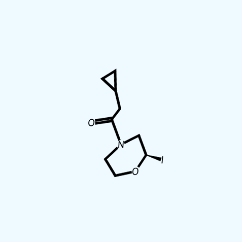 O=C(CC1CC1)N1CCO[C@H](I)C1